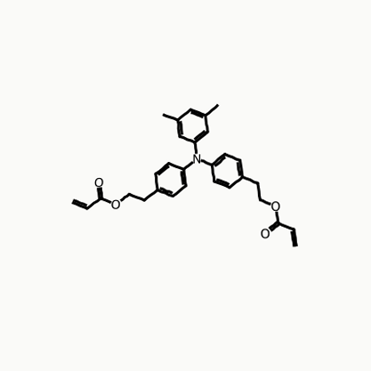 C=CC(=O)OCCc1ccc(N(c2ccc(CCOC(=O)C=C)cc2)c2cc(C)cc(C)c2)cc1